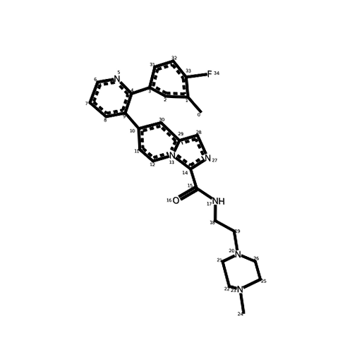 Cc1cc(-c2ncccc2-c2ccn3c(C(=O)NCCN4CCN(C)CC4)ncc3c2)ccc1F